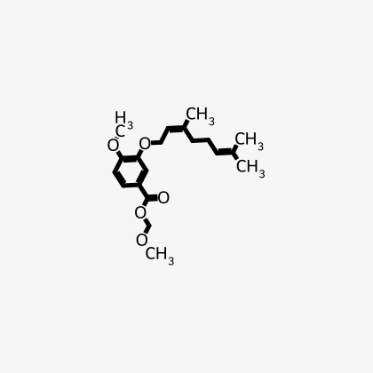 COCOC(=O)c1ccc(OC)c(OCC=C(C)CCC=C(C)C)c1